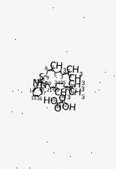 CC(C)=CCCC(C)=CCSc1nc2ccccc2n1CC=C(C)CCC=C(C)C.O=C(O)C(=O)O